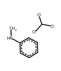 CNc1ccccc1.ClC(Cl)Cl